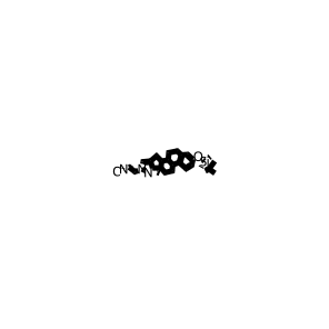 [C-]#[N+]CCn1cc2c(n1)[C@@]1(C)CCC3c4ccc(O[Si](C)(C)C(C)(C)C)cc4CCC3C1C2